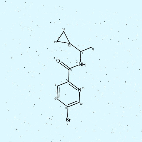 CC(NC(=O)c1ccc(Br)cn1)C1CC1